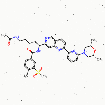 CC(=O)NCCCC[C@H](NC(=O)c1ccc(C)c(S(C)(=O)=O)c1)c1cc2nc(-c3cccc(N4C[C@@H](C)O[C@@H](C)C4)n3)ccc2cn1